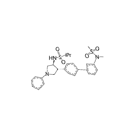 CC(C)S(=O)(=O)N[C@@H]1CN(c2ccccc2)C[C@H]1c1ccc(-c2cccc(N(C)S(C)(=O)=O)c2)cc1